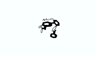 COc1cccc(OCc2ccccc2)c1-c1ccc2c(c1)CC(=O)N2